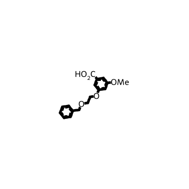 COc1cc(OCCOCc2ccccc2)cc(C(=O)O)c1